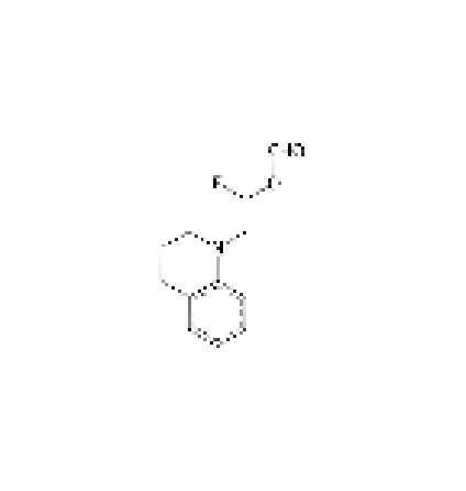 O=COC(F)CN1CCCc2ccccc21